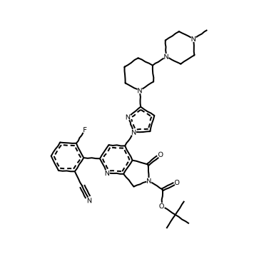 CN1CCN(C2CCCN(c3ccn(-c4cc(-c5c(F)cccc5C#N)nc5c4C(=O)N(C(=O)OC(C)(C)C)C5)n3)C2)CC1